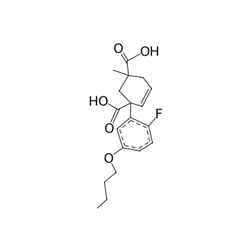 CCCCOc1ccc(F)c(C2(C(=O)O)C=CCC(C)(C(=O)O)C2)c1